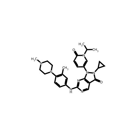 Cc1cc(Nc2ncc3c(=O)n(C4CC4)n(-c4ccc(=O)n(C(C)C)c4)c3n2)ccc1N1CCN(C)CC1